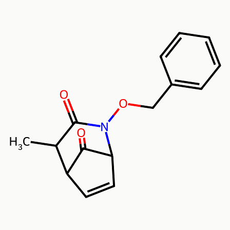 CC1C(=O)N(OCc2ccccc2)C2C=CC1C2=O